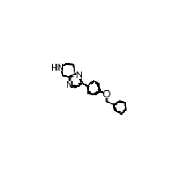 c1ccc(COc2ccc(-c3cnc4c(n3)CCNC4)cc2)cc1